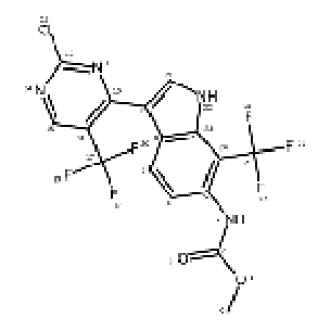 COC(=O)Nc1ccc2c(-c3nc(Cl)ncc3C(F)(F)F)c[nH]c2c1C(F)(F)F